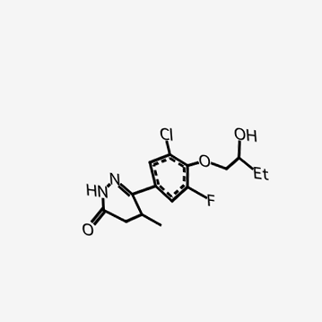 CCC(O)COc1c(F)cc(C2=NNC(=O)CC2C)cc1Cl